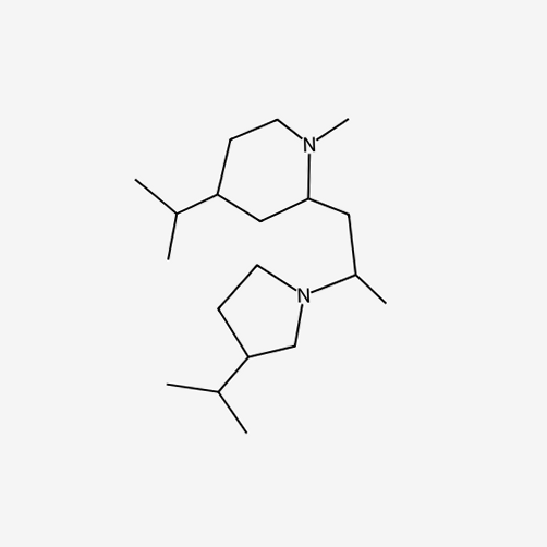 CC(C)C1CCN(C)C(CC(C)N2CCC(C(C)C)C2)C1